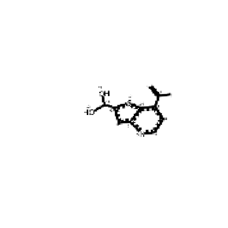 C=C(C)c1ccnc2cc(C(O)O)sc12